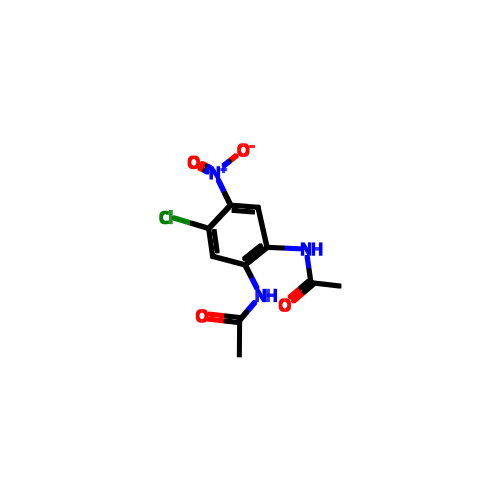 CC(=O)Nc1cc(Cl)c([N+](=O)[O-])cc1NC(C)=O